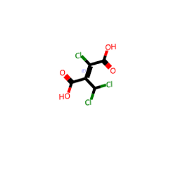 O=C(O)/C(Cl)=C(/C(=O)O)C(Cl)Cl